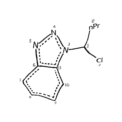 CCCC(Cl)n1nnc2ccccc21